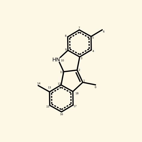 CC1=C2c3cc(C)ccc3NC2c2c(C)cccc21